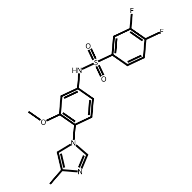 COc1cc(NS(=O)(=O)c2ccc(F)c(F)c2)ccc1-n1cnc(C)c1